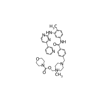 Cc1ccc(NC(=O)c2ccc(CN3CC[N+](C)(COC(=O)N4CCOCC4)CC3)cc2)cc1Nc1nccc(-c2cccnc2)n1